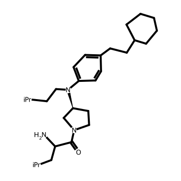 CC(C)CCN(c1ccc(CCC2CCCCC2)cc1)[C@H]1CCN(C(=O)C(N)CC(C)C)C1